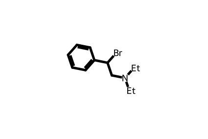 CCN(CC)CC(Br)c1ccccc1